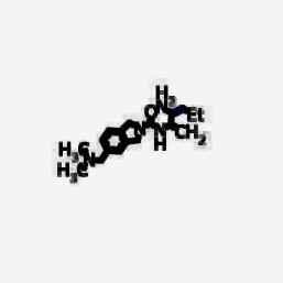 C=C(NC(=O)N1Cc2ccc(CN(C)C)cc2C1)/C(N)=C\CC